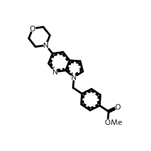 COC(=O)c1ccc(Cn2ccc3cc(N4CCOCC4)cnc32)cc1